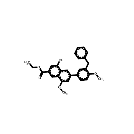 CCOC(=O)c1cc(O)c2cc(-c3ccc(OC)c(Cc4ccccc4)c3)cc(OC)c2c1